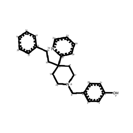 Oc1ccc(CN2CCC(CCc3ccccc3)(c3ccccn3)CC2)cc1